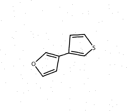 [c]1sccc1-c1ccoc1